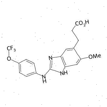 COc1cc2[nH]c(Nc3ccc(OC(F)(F)F)cc3)nc2cc1CCC(=O)O